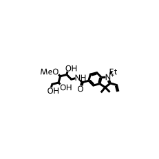 C=CC1=[N+](CC)c2ccc(C(=O)NCC(O)C(OC)C(O)CO)cc2C1(C)C